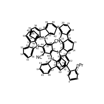 CCCc1ccccc1-c1ccc2c(c1)c1ccc3c4ccccc4sc3c1n2-c1c(C#N)c(-n2c3ccccc3c3ccccc32)c(-n2c3ccccc3c3ccccc32)c(C#N)c1-n1c2ccccc2c2ccccc21